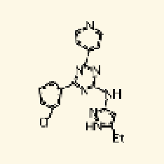 CCc1cc(Nc2nc(-c3ccncc3)nc(-c3cccc(Cl)c3)n2)n[nH]1